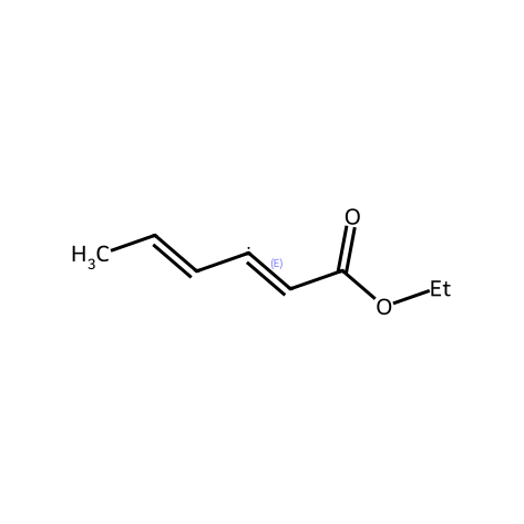 CC=C/[C]=C/C(=O)OCC